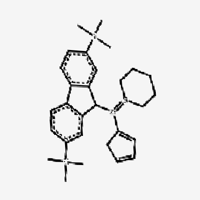 C[Si](C)(C)c1ccc2c(c1)[CH]([Zr]([C]1=CC=CC1)=[Si]1CCCCC1)c1cc([Si](C)(C)C)ccc1-2